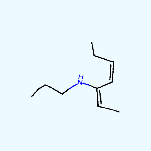 C/C=C(\C=C/CC)NCCC